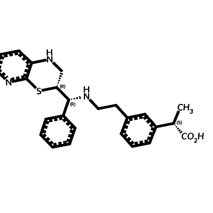 C[C@H](C(=O)O)c1cccc(CCN[C@H](c2ccccc2)[C@H]2CNc3cccnc3S2)c1